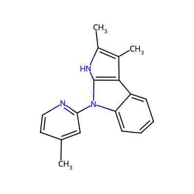 Cc1ccnc(-n2c3ccccc3c3c(C)c(C)[nH]c32)c1